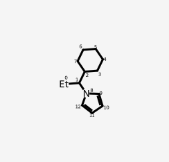 CCC(C1CCCCC1)n1cccc1